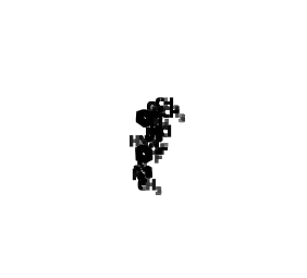 CC(C)S(=O)(=O)c1ccccc1Nc1nc(Nc2ccc(N3C=NN(C)CC3)cc2OC(F)F)ncc1Cl